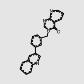 O=c1c2cccnc2ncn1Cc1cccc(-c2cnc3ccccc3c2)c1